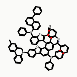 Cc1ccc2c(c1)CN(c1ccc3c(c1)oc1c3cc(N(c3ccccc3)c3ccccc3)c3cc(/C(=N\c4ccccc4)c4ccccc4)c4cc(C#N)c5oc6c(N(c7ccccc7)c7cccc8c(-c9ccccc9)cccc78)cccc6c5c4c31)c1ccccc1-2